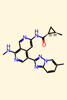 CNc1ncc(-c2nc3ccc(C)cn3n2)c2cc(NC(=O)[C@H]3C[C@H]3C)ncc12